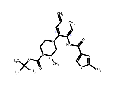 Bc1nc(C(=O)NC(=C/C)/C(=C\C=C)N2CCN(C(=O)OC(C)(C)C)[C@@H](C)C2)cs1